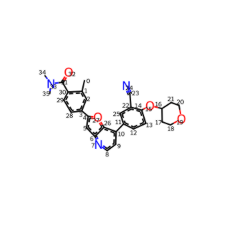 Cc1cc(-c2cc3nccc(-c4ccc(OC5CCOCC5)c(C#N)c4)c3o2)ccc1C(=O)N(C)C